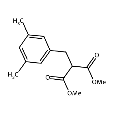 COC(=O)C(Cc1cc(C)cc(C)c1)C(=O)OC